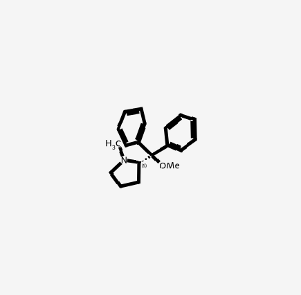 COC(c1ccccc1)(c1ccccc1)[C@@H]1CCCN1C